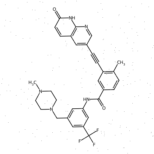 Cc1ccc(C(=O)Nc2cc(CN3CCN(C)CC3)cc(C(F)(F)F)c2)cc1C#Cc1cnc2[nH]c(=O)ccc2c1